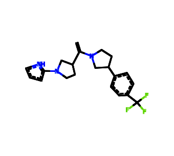 C=C(C1CCN(c2ccc[nH]2)C1)N1CCC(c2ccc(C(F)(F)F)cc2)C1